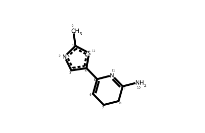 Cc1ncc(C2=CCCC(N)=N2)s1